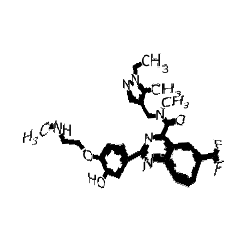 CCn1ncc(CN(C)C(=O)c2nc(-c3ccc(OCCNC)c(O)c3)nc3ccc(C(F)F)cc23)c1C